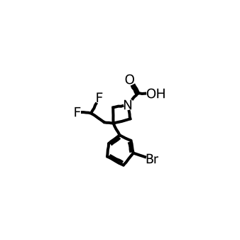 O=C(O)N1CC(CC(F)F)(c2cccc(Br)c2)C1